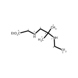 CCOC(=O)CNCC(C)(C)NCC(F)(F)F